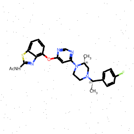 CC(=O)Nc1nc2c(Oc3cc(N4CCN([C@@H](C)c5ccc(F)cc5)C[C@H]4C)ncn3)cccc2s1